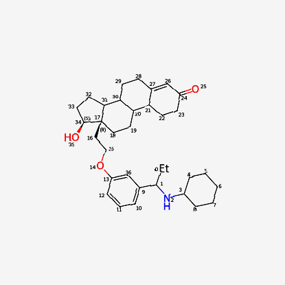 CCC(NC1CCCCC1)c1cccc(OCC[C@]23CCC4C5CCC(=O)C=C5CCC4C2CC[C@@H]3O)c1